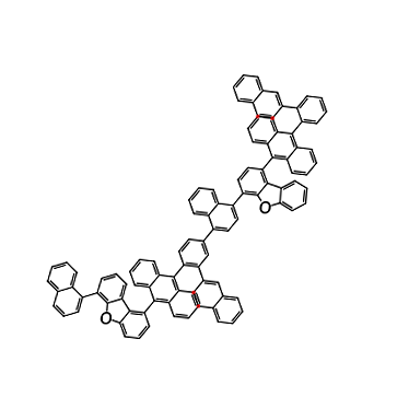 c1ccc(-c2c3ccccc3c(-c3ccc(-c4ccc(-c5ccc(-c6c7ccccc7c(-c7cccc8oc9c(-c%10cccc%11ccccc%10%11)cccc9c78)c7ccccc67)c(-c6ccc7ccccc7c6)c5)c5ccccc45)c4oc5ccccc5c34)c3ccccc23)c(-c2ccc3ccccc3c2)c1